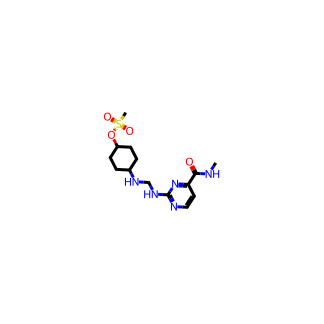 CNC(=O)c1ccnc(NCNC2CCC(OS(C)(=O)=O)CC2)n1